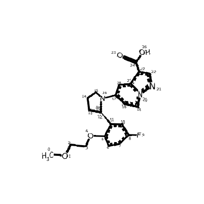 COCCOc1ccc(F)cc1[C@H]1CCCN1c1ccn2ncc(C(=O)O)c2c1